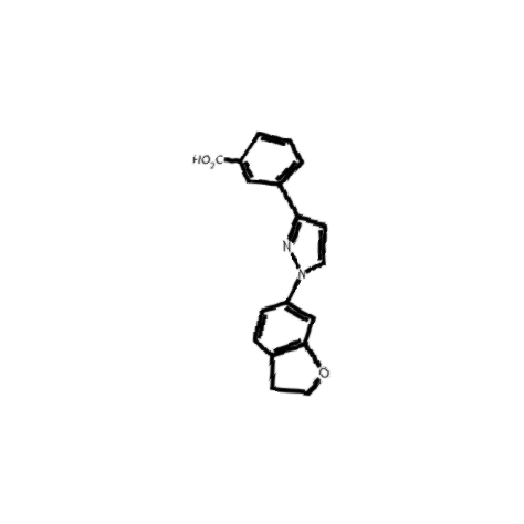 O=C(O)c1cccc(-c2ccn(-c3ccc4c(c3)OCC4)n2)c1